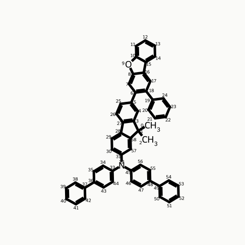 CC1(C)c2cc(-c3cc4oc5ccccc5c4cc3-c3ccccc3)ccc2-c2ccc(N(c3ccc(-c4ccccc4)cc3)c3ccc(-c4ccccc4)cc3)cc21